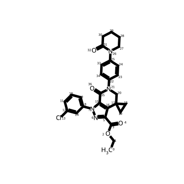 CCOC(=O)c1nn(-c2cccc(Cl)c2)c2c1C1(CC1)CN(c1ccc(N3CCCCC3=O)cc1)C2=O